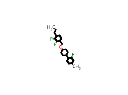 CCCc1ccc(COC2CCC(c3ccc(C)cc3F)CC2)c(F)c1F